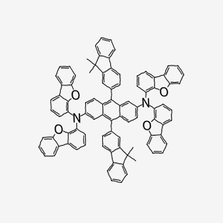 CC1(C)c2ccccc2-c2ccc(-c3c4ccc(N(c5cccc6c5oc5ccccc56)c5cccc6c5oc5ccccc56)cc4c(-c4ccc5c(c4)C(C)(C)c4ccccc4-5)c4ccc(N(c5cccc6c5oc5ccccc56)c5cccc6c5oc5ccccc56)cc34)cc21